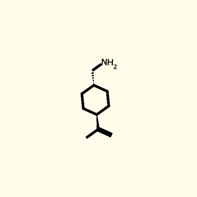 C=C(C)[C@H]1CC[C@H](CN)CC1